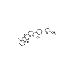 Cn1ccc(-c2ccc(-c3ccc(O[C@@H]4C[C@H]5CCC[C@H](N5)[C@@H]4F)nn3)c(O)c2)n1